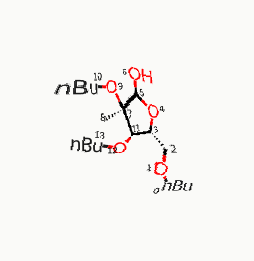 CCCCOC[C@H]1OC(O)[C@](C)(OCCCC)[C@@H]1OCCCC